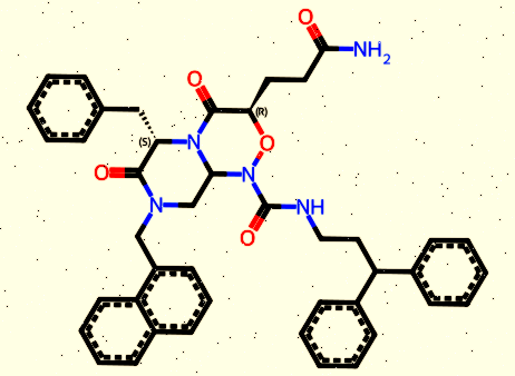 NC(=O)CC[C@H]1ON(C(=O)NCCC(c2ccccc2)c2ccccc2)C2CN(Cc3cccc4ccccc34)C(=O)[C@H](Cc3ccccc3)N2C1=O